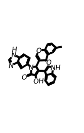 Cc1ccc2occ(C3C(c4c[nH]c5ccccc45)=C(O)C(=O)N3c3ccc4[nH]cnc4c3)c(=O)c2c1